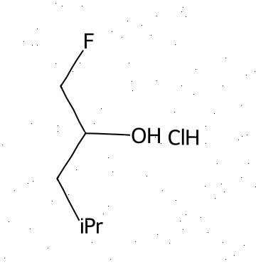 CC(C)CC(O)CF.Cl